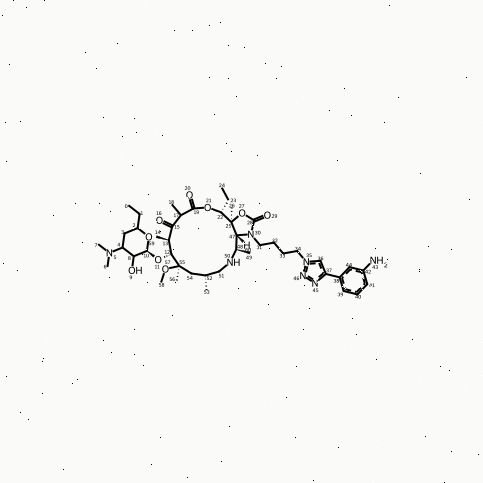 CCC1CC(N(C)C)C(O)[C@H](O[C@@H]2[C@@H](C)C(=O)C(C)C(=O)O[C@H](CC)[C@@]3(C)OC(=O)N(CCCCn4cc(-c5cccc(N)c5)nn4)[C@@H]3[C@@H](C)NC[C@H](C)C[C@@]2(C)OC)O1